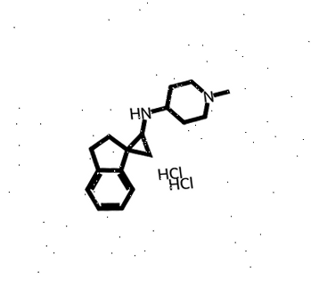 CN1CCC(NC2CC23CCc2ccccc23)CC1.Cl.Cl